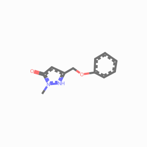 Cn1[nH]c(COc2ccccc2)cc1=O